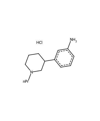 CCCN1CCCC(c2cccc(N)c2)C1.Cl